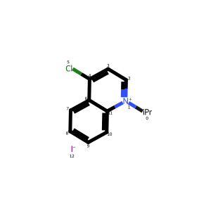 CC(C)[n+]1ccc(Cl)c2ccccc21.[I-]